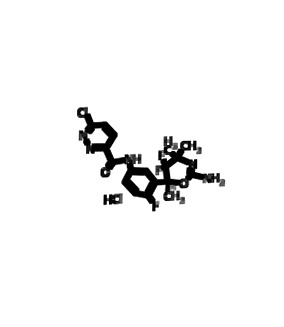 CC1(C)N=C(N)O[C@](C)(c2cc(NC(=O)c3ccc(Cl)nn3)ccc2F)C1(F)F.Cl